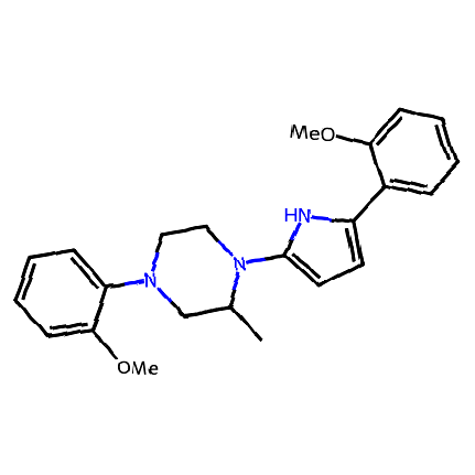 COc1ccccc1-c1ccc(N2CCN(c3ccccc3OC)CC2C)[nH]1